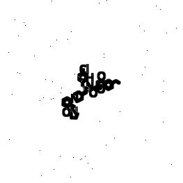 CCc1ccc2oc(C(=O)N[C@H](C=C3CCN(c4ccccc4CN4CCCC4=O)CC3)Cc3ccc(Cl)cc3)cc(=O)c2c1